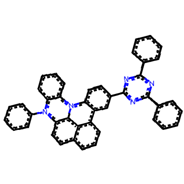 c1ccc(-c2nc(-c3ccccc3)nc(-c3ccc4c(c3)c3cccc5ccc6c(c53)-n4c3ccccc3n6-c3ccccc3)n2)cc1